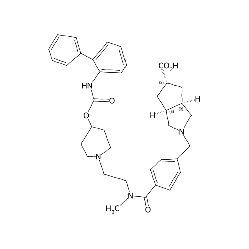 CN(CCN1CCC(OC(=O)Nc2ccccc2-c2ccccc2)CC1)C(=O)c1ccc(CN2C[C@H]3C[C@H](C(=O)O)C[C@H]3C2)cc1